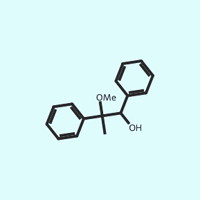 COC(C)(c1ccccc1)C(O)c1ccccc1